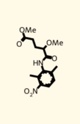 COC(=O)CCC(OC)C(=O)Nc1c(C)ccc([N+](=O)[O-])c1C